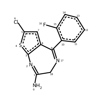 NC1=Nc2sc(Cl)cc2C(c2ccccc2F)=NC1